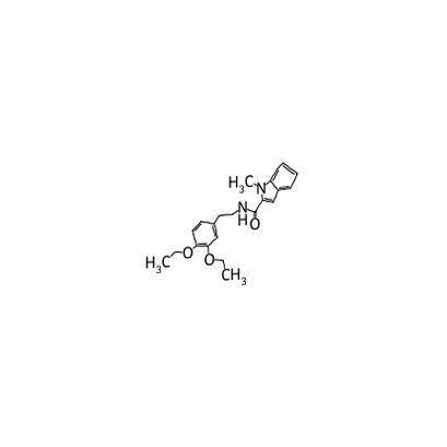 CCOc1ccc(CCNC(=O)c2cc3ccccc3n2C)cc1OCC